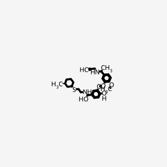 C#CCNC(C)c1ccc(OC)c(OOc2cc(C(O)NCCSC3CCC[C@H](C)C3)ccc2O)c1